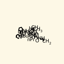 C=CCNC(=O)C(=O)C(CCC)NC(=O)[C@@H]1[C@@H]2[C@H](CN1C(=O)[C@@H](NC(=O)NC1(CS(=O)(=O)c3ccccn3)CCCCC1)C(C)(C)C)C2(C)C